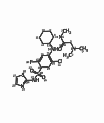 CN(C)CC(=O)N(C)[C@H]1CCCC[C@@H]1Nc1cc(F)c(S(=O)(=O)Nc2nccs2)cc1Cl